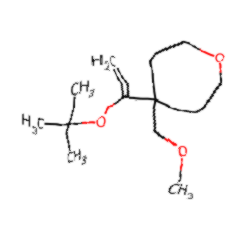 C=C(OC(C)(C)C)C1(COC)CCOCC1